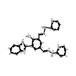 Oc1c(/C=N/Nc2ccccn2)cc(/C=N/Nc2ccccn2)cc1-c1nc2ccccc2o1